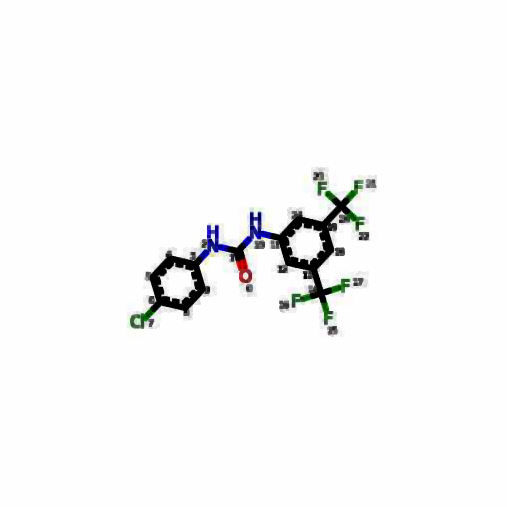 O=C(Nc1ccc(Cl)cc1)Nc1cc(C(F)(F)F)cc(C(F)(F)F)c1